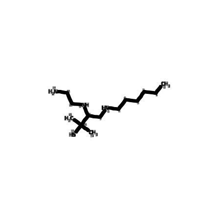 CCCCCCNCC(NCCN)C(C)(C)S